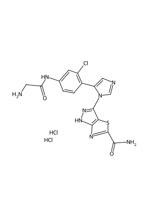 Cl.Cl.NCC(=O)Nc1ccc(-c2cncn2-c2n[nH]c3nc(C(N)=O)sc23)c(Cl)c1